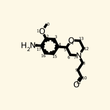 COc1cc(C2CN(CCC=O)CCO2)ccc1N